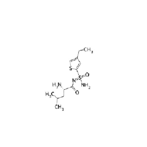 CCc1csc(S(N)(=O)=NC(=O)[C@@H](N)CC(C)C)c1